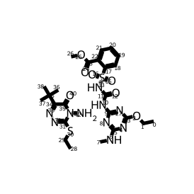 CCOc1nc(NC)nc(NC(=O)NS(=O)(=O)c2ccccc2C(=O)OC)n1.CCSc1nnc(C(C)(C)C)c(=O)n1N